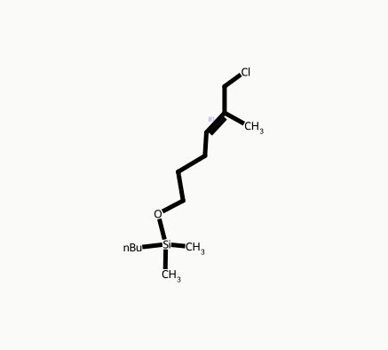 CCCC[Si](C)(C)OCCC/C=C(\C)CCl